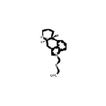 O=CCSCn1cc2c3c(cccc31)[C@H]1CCCN[C@@H]1C2